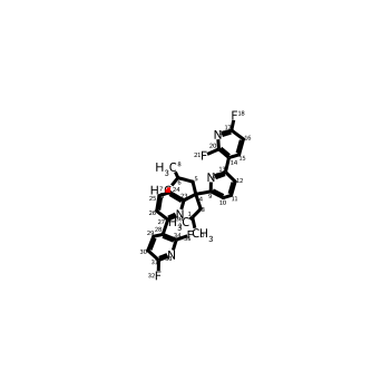 CC(C)CC(CC(C)C)(c1cccc(-c2ccc(F)nc2F)n1)c1cccc(-c2ccc(F)nc2F)n1